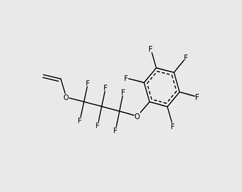 C=COC(F)(F)C(F)(F)C(F)(F)Oc1c(F)c(F)c(F)c(F)c1F